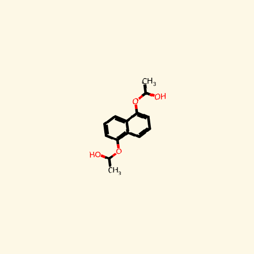 CC(O)Oc1cccc2c(OC(C)O)cccc12